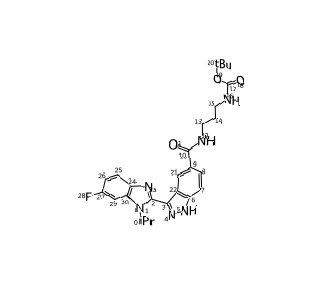 CC(C)n1c(-c2n[nH]c3ccc(C(=O)NCCCNC(=O)OC(C)(C)C)cc23)nc2ccc(F)cc21